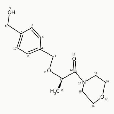 C[C@@H](OCc1ccc(CO)cc1)C(=O)N1CCOCC1